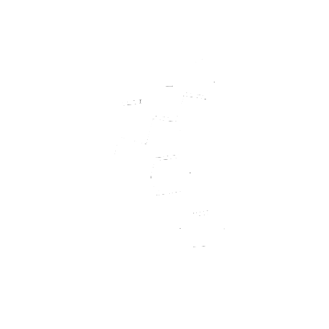 CC(C)C(c1ccc(-c2ccc(Br)cc2)cc1)c1c(O)c2ccccc2oc1=O